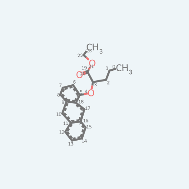 CCCC(Oc1cccc2cc3ccccc3cc12)C(=O)OCC